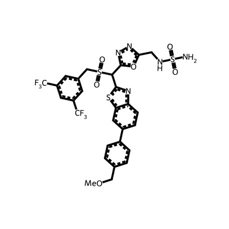 COCc1ccc(-c2ccc3nc(C(c4nnc(CNS(N)(=O)=O)o4)S(=O)(=O)Cc4cc(C(F)(F)F)cc(C(F)(F)F)c4)sc3c2)cc1